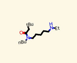 CCCCN(CCCCCNCC)C(=O)CC(C)(C)C